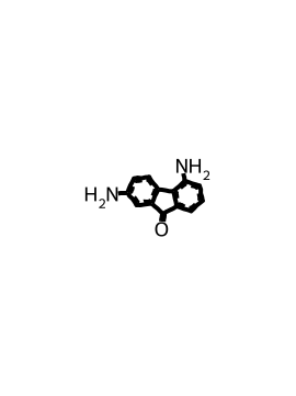 Nc1ccc2c(c1)C(=O)c1cccc(N)c1-2